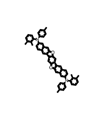 Cc1ccc(N(c2ccc3cc4c(cc3c2)oc2cc3c(cc24)oc2cc4cc(N(c5ccc(C)cc5)c5cccc(C)c5C)ccc4cc23)c2cccc(C)c2C)cc1